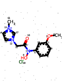 COc1cccc(N(O)C(=O)Cn2cc[n+](C)c2)c1.[Cl-]